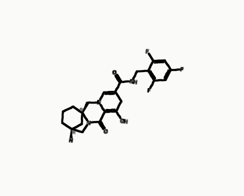 O=C(NCc1c(F)cc(F)cc1F)C1=CN2C[C@@]34CCC[C@@H](CN3C(=O)C2=C(O)C1)C4